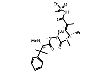 CCS(=O)(=O)NC(=O)/C(C)=C/[C@H](C(C)C)N(C)C(=O)[C@@H](NC(=O)[C@@H](NC)C(C)(C)c1ccccc1)C(C)(C)C